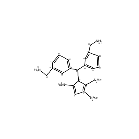 CNC1=CC(NC)=C(NC)[C]1C(c1cccc(CN)c1)c1cccc(CN)c1